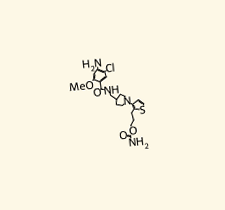 COc1cc(N)c(Cl)cc1C(=O)NCC1CCN(c2ccsc2CCCOC(N)=O)CC1